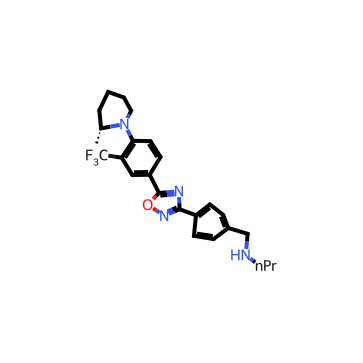 [CH2]CCNCc1ccc(-c2noc(-c3ccc(N4CCCC[C@H]4C)c(C(F)(F)F)c3)n2)cc1